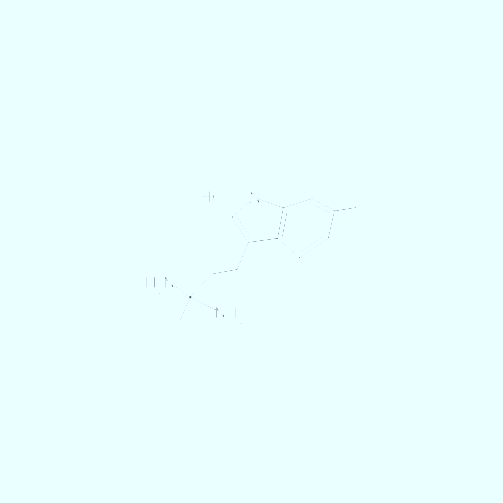 Cc1ccc2c(CCC(C)(N)N)c[nH]c2c1.Cl